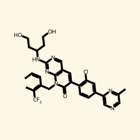 C/C=C\C(Cn1c(=O)c(-c2ccc(-c3cncc(C)n3)cc2Cl)cc2cnc(NC(CCO)CCO)nc21)=C(/C)C(F)(F)F